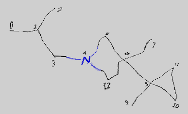 CC(C)CN1CC(C)(C2(C)CC2)C1